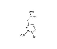 COC(=O)Cc1ccc(Br)c([N+](=O)[O-])c1